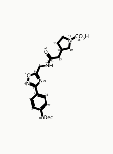 CCCCCCCCCCc1ccc(-c2noc(CNC(=O)CC3CCN(C(=O)O)C3)n2)cc1